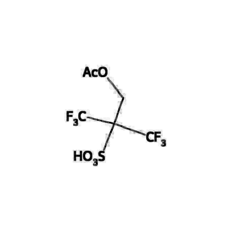 CC(=O)OCC(C(F)(F)F)(C(F)(F)F)S(=O)(=O)O